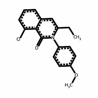 CCc1cc2cccc(Cl)c2c(=O)n1-c1ccc(OC)cc1